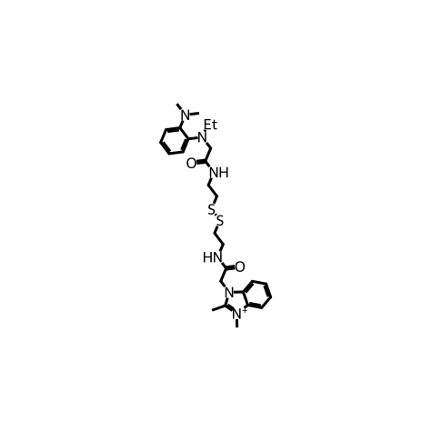 CCN(CC(=O)NCCSSCCNC(=O)Cn1c(C)[n+](C)c2ccccc21)c1ccccc1N(C)C